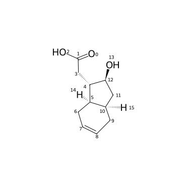 O=C(O)C[C@H]1[C@@H]2CC=CC[C@@H]2C[C@@H]1O